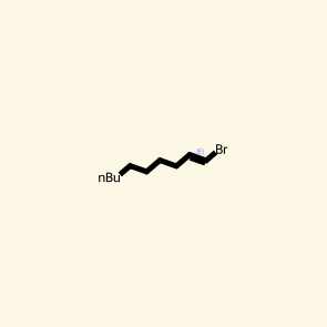 CCCCCCCC/C=C/Br